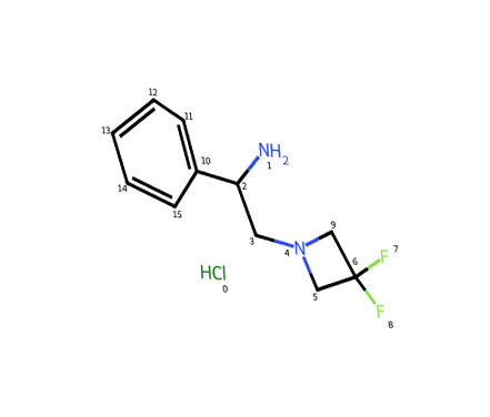 Cl.NC(CN1CC(F)(F)C1)c1ccccc1